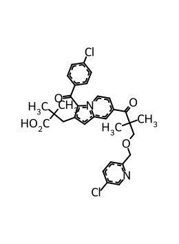 CC(C)(Cc1cc2cc(C(=O)C(C)(C)COCc3ccc(Cl)cn3)ccn2c1C(=O)c1ccc(Cl)cc1)C(=O)O